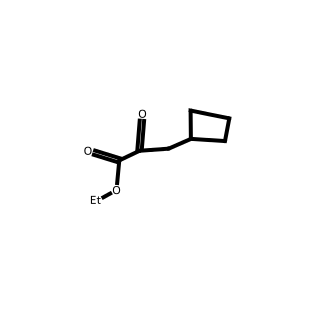 CCOC(=O)C(=O)CC1CCC1